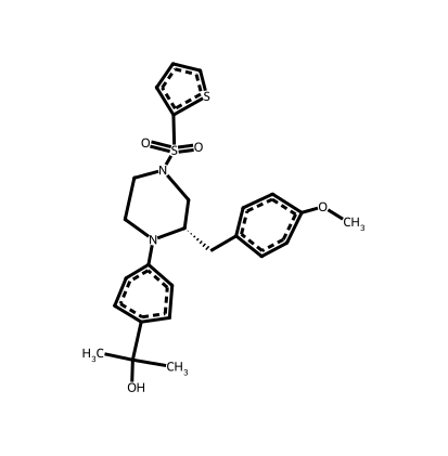 COc1ccc(C[C@H]2CN(S(=O)(=O)c3cccs3)CCN2c2ccc(C(C)(C)O)cc2)cc1